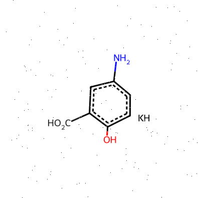 Nc1ccc(O)c(C(=O)O)c1.[KH]